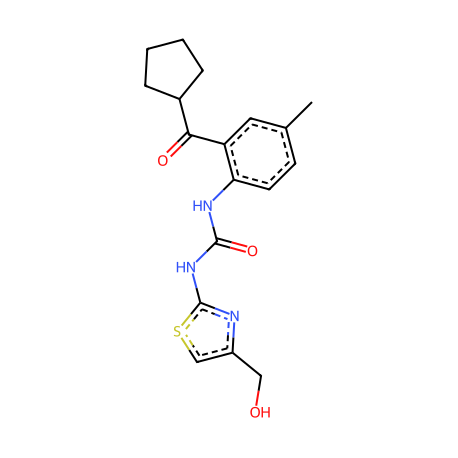 Cc1ccc(NC(=O)Nc2nc(CO)cs2)c(C(=O)C2CCCC2)c1